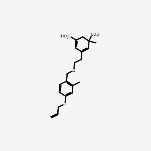 C=CCOc1ccc(COCCC2=CC(C)(C(=O)O)CC(C(=O)O)=C2)c(C)c1